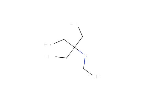 CC[N]C(CC)(CC)CC